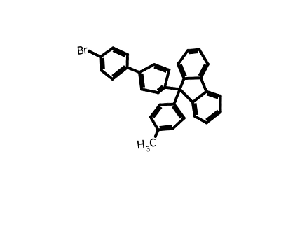 Cc1ccc(C2(c3ccc(-c4ccc(Br)cc4)cc3)c3ccccc3-c3ccccc32)cc1